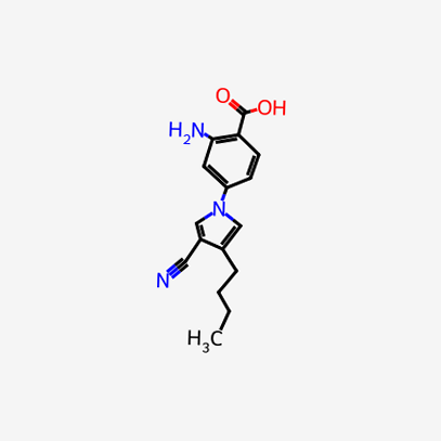 CCCCc1cn(-c2ccc(C(=O)O)c(N)c2)cc1C#N